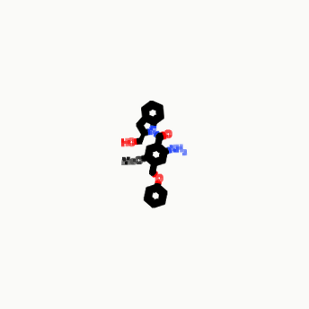 COc1cc(C(=O)N2c3ccccc3C[C@@H]2CO)c(N)cc1COc1ccccc1